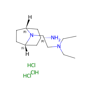 CCN(CC)CCN1[C@@H]2CC[C@H]1C[C@@H](N)C2.Cl.Cl.Cl